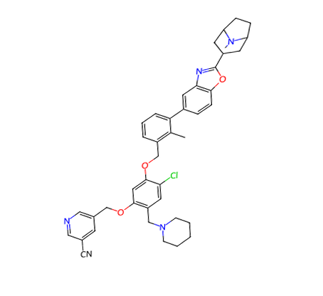 Cc1c(COc2cc(OCc3cncc(C#N)c3)c(CN3CCCCC3)cc2Cl)cccc1-c1ccc2oc(C3CC4CCC(C3)N4C)nc2c1